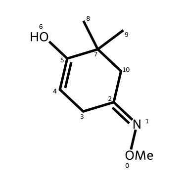 CON=C1CC=C(O)C(C)(C)C1